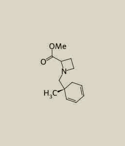 COC(=O)C1CCN1C[C@@]1(C)C=CC=CC1